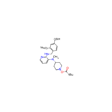 COc1ccc(CNc2ncccc2N(C)C2CCN(OC(=O)C(C)(C)C)CC2)c(OC)c1